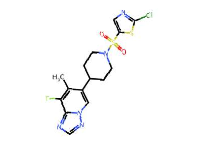 Cc1c(C2CCN(S(=O)(=O)c3cnc(Cl)s3)CC2)cn2ncnc2c1F